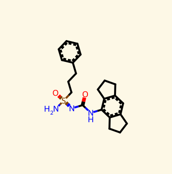 NS(=O)(CCCc1ccccc1)=NC(=O)Nc1c2c(cc3c1CCC3)CCC2